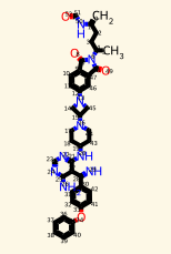 C=C(CCC(C)N1C(=O)c2ccc(N3CC(N4CCC(NC5=NC=NC(N)C5C(=N)c5ccc(Oc6ccccc6)cc5)CC4)C3)cc2C1=O)NC=O